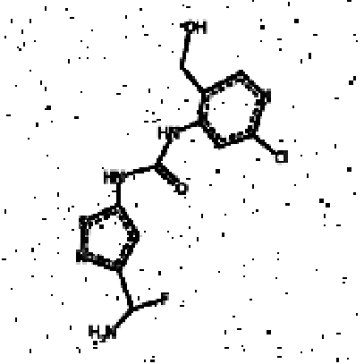 NC(F)c1cc(NC(=O)Nc2cc(Cl)ncc2CO)sn1